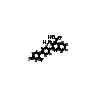 Nc1c(-c2ccc(-c3ccc(F)cc3F)cc2)nc2ccccc2c1C(=O)O